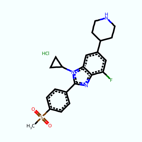 CS(=O)(=O)c1ccc(-c2nc3c(F)cc(C4CCNCC4)cc3n2C2CC2)cc1.Cl